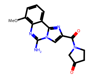 COc1cccc2c1nc(N)n1cc(C(=O)N3CCC(=O)C3)nc21